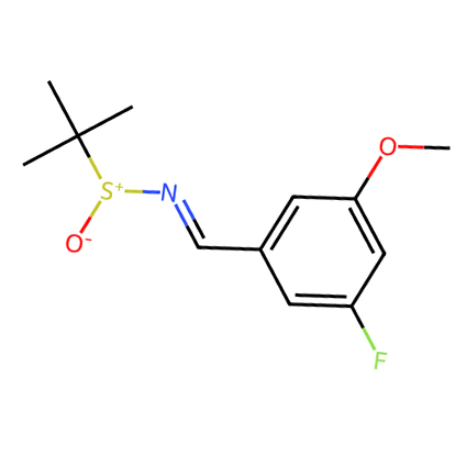 COc1cc(F)cc(C=N[S+]([O-])C(C)(C)C)c1